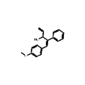 C=CC(O)/C(=C\c1ccc(OC)cc1)c1ccccc1